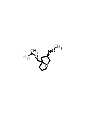 CO/N=C1\CN2CCCC2(COC(C)C)C1